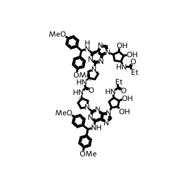 CCC(=O)NC1CC(n2cnc3c(NC(c4ccc(OC)cc4)c4ccc(OC)cc4)nc(N4CC[C@@H](NC(=O)N[C@@H]5CCN(c6nc(NC(c7ccc(OC)cc7)c7ccc(OC)cc7)c7ncn(C8CC(NC(=O)CC)C(O)C8O)c7n6)C5)C4)nc32)C(O)C1O